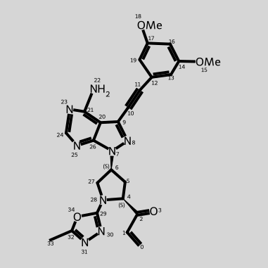 C=CC(=O)[C@@H]1C[C@H](n2nc(C#Cc3cc(OC)cc(OC)c3)c3c(N)ncnc32)CN1c1nnc(C)o1